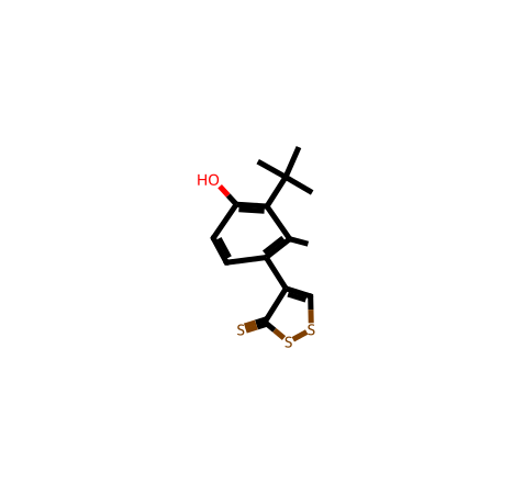 Cc1c(-c2cssc2=S)ccc(O)c1C(C)(C)C